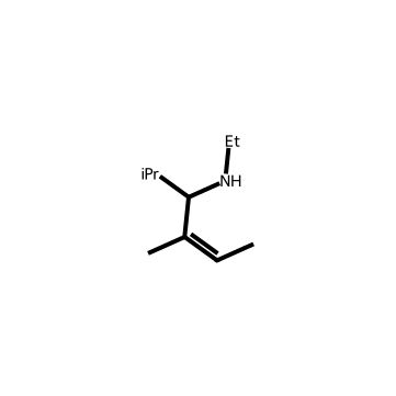 C/C=C(/C)C(NCC)C(C)C